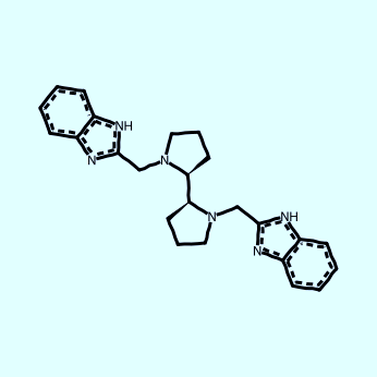 c1ccc2[nH]c(CN3CCC[C@H]3[C@@H]3CCCN3Cc3nc4ccccc4[nH]3)nc2c1